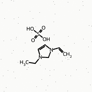 C=CN1C=CN(CC)C1.O=S(=O)(O)O